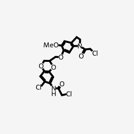 COc1cc2c(cc1OCC1COc3cc(Cl)c(NC(=O)CCl)cc3O1)N(C(=O)CCl)CC2